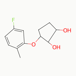 Cc1ccc(F)cc1OC1CCC(O)C1O